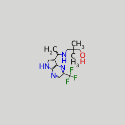 C=C(NCC(C)(C)CO)c1c[nH]c2ncc(C(F)(F)F)nc12